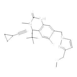 COCc1ccn(Cc2cc3c(cc2F)[C@@](C#CC2CC2)(C(C)(F)F)N(C)C(=O)N3)n1